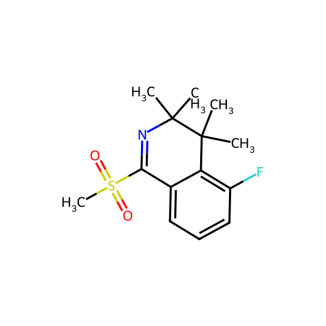 CC1(C)N=C(S(C)(=O)=O)c2cccc(F)c2C1(C)C